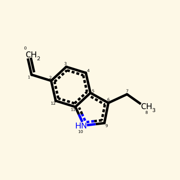 C=Cc1ccc2c(CC)c[nH]c2c1